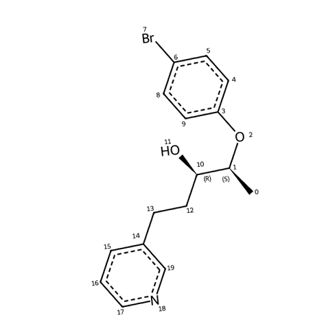 C[C@H](Oc1ccc(Br)cc1)[C@H](O)CCc1cccnc1